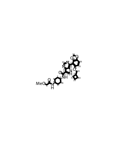 COCC(=O)N[C@H]1CC[C@H](NC(=O)c2c[nH]c3c(-c4c(OCC5CCC5)ccc5c4OCO5)ncnc23)CC1